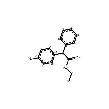 CCOC(=O)C(c1ccccc1)c1ccc(C)cc1